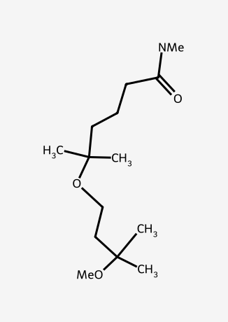 CNC(=O)CCCC(C)(C)OCCC(C)(C)OC